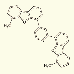 Cc1cccc2c1oc1c(-c3ccnc(-c4cccc5c4oc4c(C)cccc45)c3)cccc12